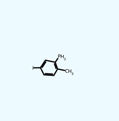 Cc1ccc(I)cc1P